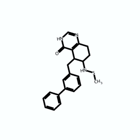 CSNC1CCc2nc[nH]c(=O)c2C1Cc1cccc(-c2ccccc2)c1